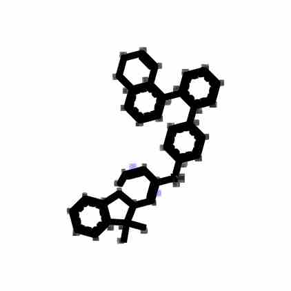 C/C=C\C(=C/C1Cc2ccccc2C1(C)C)Nc1ccc(-c2ccccc2-c2cccc3c2C=CCC3)cc1